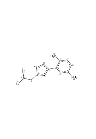 CCN(CC)Cc1cc(-c2cc(N)ccc2N)cs1